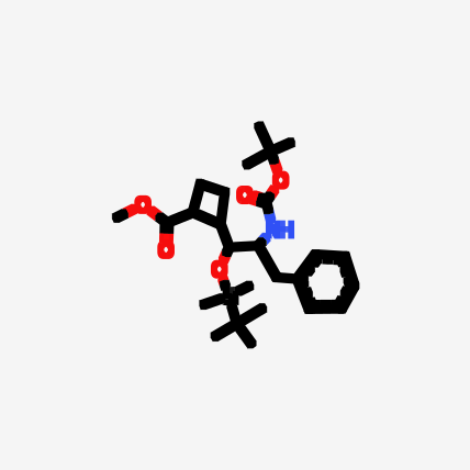 COC(=O)C1CCC1C(O[Si](C)(C)C(C)(C)C)C(Cc1ccccc1)NC(=O)OC(C)(C)C